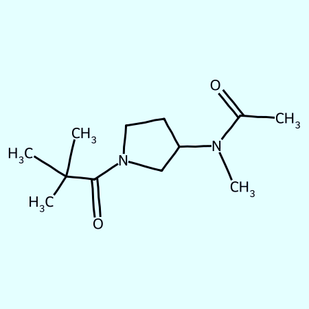 CC(=O)N(C)C1CCN(C(=O)C(C)(C)C)C1